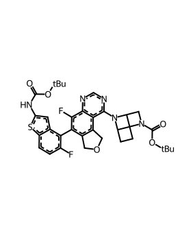 CC(C)(C)OC(=O)Nc1cc2c(-c3c4c(c5c(N6C7CCC78C6CN8C(=O)OC(C)(C)C)ncnc5c3F)COC4)c(F)ccc2s1